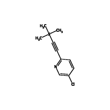 CS(C)(C)C#Cc1ccc(Cl)cn1